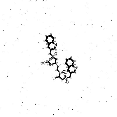 CCC(CS(=O)(=O)Cc1cnc2ccccc2c1)N(O)CC[C@@H](CS(=O)(=O)Cc1cnc2ccccc2c1)NCC#N